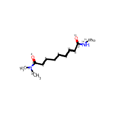 CN(C)C(=O)CCCCCCCC(=O)NC(C)(C)C